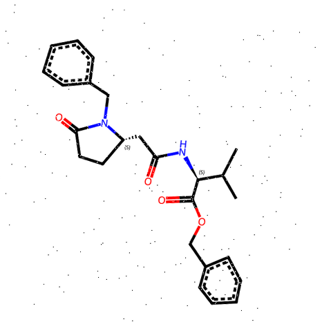 CC(C)[C@H](NC(=O)C[C@@H]1CCC(=O)N1Cc1ccccc1)C(=O)OCc1ccccc1